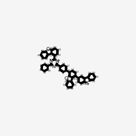 c1ccc(-c2nc(-c3ccc(-c4ccc(-c5ccc6sc7ccccc7c6c5)c5c4oc4ccccc45)cc3)nc(-c3cccc4oc5ccccc5c34)n2)cc1